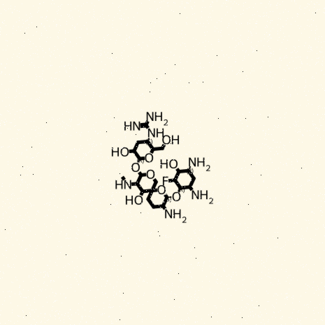 CNC1C(O[C@H]2OC(CO)[C@@H](NC(=N)N)CC2O)OCC2(CCC(N)[C@@H](O[C@@H]3C(N)C[C@@H](N)C(O)C3F)O2)C1O